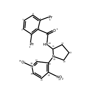 CC(C)c1cccc(C(C)C)c1C(=O)NC1CCCN1c1c[n+]([O-])ccc1[N+](=O)[O-]